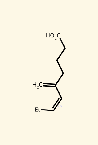 C=C(/C=C\CC)CCCC(=O)O